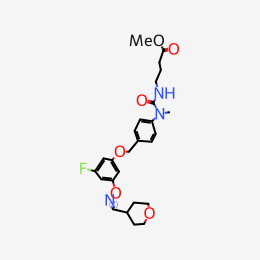 COC(=O)CCCNC(=O)N(C)c1ccc(COc2cc(F)cc(O/N=C\C3CCOCC3)c2)cc1